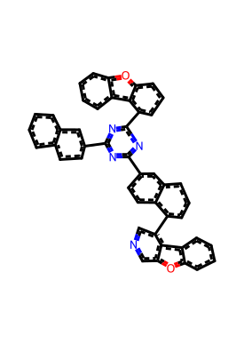 c1ccc2cc(-c3nc(-c4ccc5c(-c6cncc7oc8ccccc8c67)cccc5c4)nc(-c4cccc5oc6ccccc6c45)n3)ccc2c1